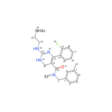 CCN(Cc1cccc(C)c1)C(=O)C1=C(c2ccccc2F)N=C(NCCNC(C)=O)NC1